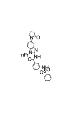 CCCn1c(NC(=O)c2cccc(NS(=O)(=O)c3ccccc3)c2)nc2cc(N3CCCC3=O)ccc21